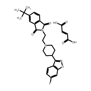 CC(C)(C)c1ccc2c(c1)C(=O)N(CCN1CCC(c3noc4cc(F)ccc34)CC1)C2=O.O=C(O)C=CC(=O)O